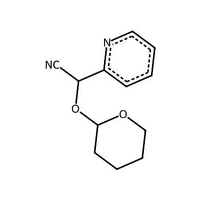 N#CC(OC1CCCCO1)c1ccccn1